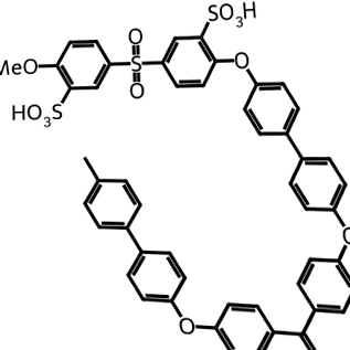 COc1ccc(S(=O)(=O)c2ccc(Oc3ccc(-c4ccc(Oc5ccc(C(=O)c6ccc(Oc7ccc(-c8ccc(C)cc8)cc7)cc6)cc5)cc4)cc3)c(S(=O)(=O)O)c2)cc1S(=O)(=O)O